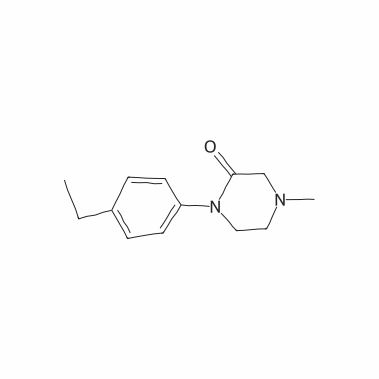 CCc1ccc(N2CCN(C)CC2=O)cc1